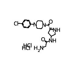 Cl.Cl.NCC(=O)NC1CN[C@@H](C(=O)N2CCN(c3ccc(Cl)cc3)CC2)C1